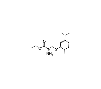 CCOC(=O)[C@@H](N)CSC1C=C(C(C)C)CCC1C